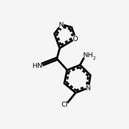 N=C(c1cnco1)c1cc(Cl)ncc1N